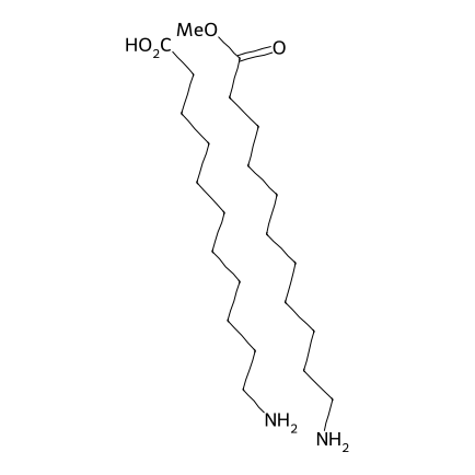 COC(=O)CCCCCCCCCCN.NCCCCCCCCCCC(=O)O